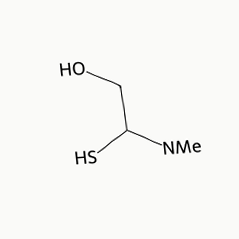 CNC(S)CO